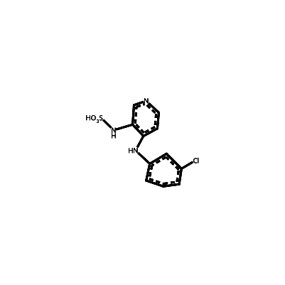 O=S(=O)(O)Nc1cnccc1Nc1cccc(Cl)c1